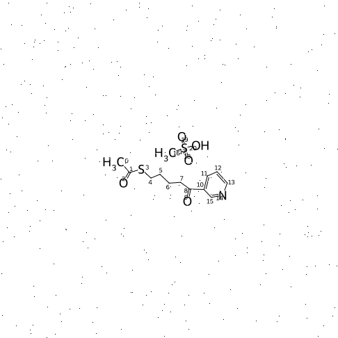 CC(=O)SCCCCC(=O)c1cccnc1.CS(=O)(=O)O